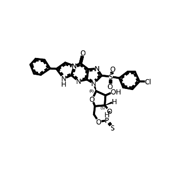 O=c1c2nc(S(=O)(=O)c3ccc(Cl)cc3)n([C@@H]3OC4CO[PH](=S)O[C@H]4C3O)c2nc2[nH]c(-c3ccccc3)cn12